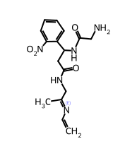 C=C/N=C(\C)CNC(=O)CC(NC(=O)CN)c1ccccc1[N+](=O)[O-]